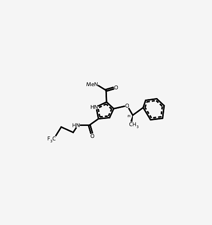 CNC(=O)c1[nH]c(C(=O)NCCC(F)(F)F)cc1O[C@H](C)c1ccccc1